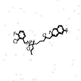 CCCC(C)(CCCC(=O)Cc1cc2cc(F)ccc2cn1)C(=O)NCc1cccc(F)c1Cl